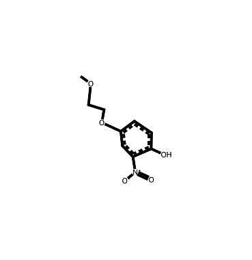 COCCOc1ccc(O)c([N+](=O)[O-])c1